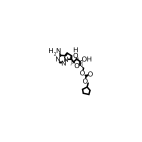 C[C@@]1(c2ccc3c(N)ncnn23)O[C@H](COC(=O)OCC2CCCC2)[C@@H](O)[C@H]1O